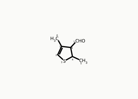 CC1=CSC(C)C1C=O